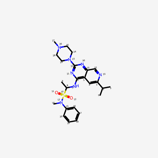 CC(C)c1cc2c(NC(C)S(=O)(=O)N(C)c3ccccc3)nc(N3CCN(C)CC3)nc2cn1